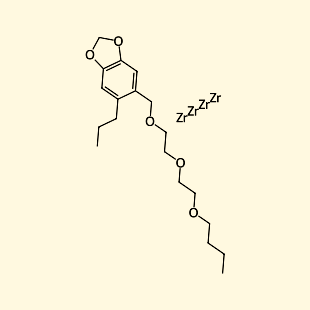 CCCCOCCOCCOCc1cc2c(cc1CCC)OCO2.[Zr].[Zr].[Zr].[Zr]